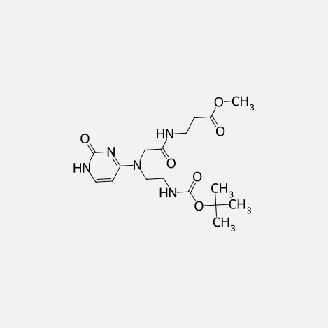 COC(=O)CCNC(=O)CN(CCNC(=O)OC(C)(C)C)c1cc[nH]c(=O)n1